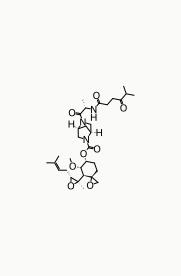 CO[C@@H]1[C@H](OC(=O)N2C[C@@H]3C[C@H]2CN3C(=O)[C@H](C)NC(=O)CCC(=O)C(C)C)CC[C@]2(CO2)[C@H]1[C@@]1(C)O[C@@H]1CC=C(C)C